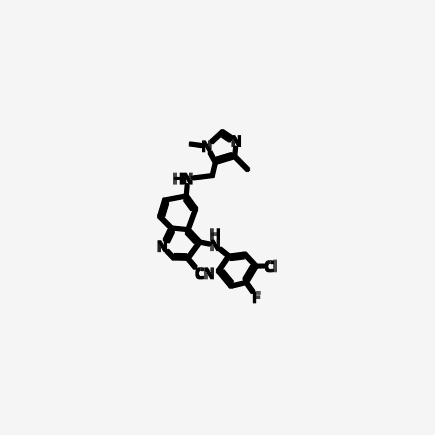 Cc1ncn(C)c1CNc1ccc2ncc(C#N)c(Nc3ccc(F)c(Cl)c3)c2c1